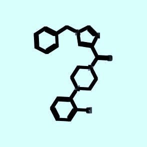 O=C(c1cn(Cc2ccccc2)cn1)N1CCN(c2ccccc2Cl)CC1